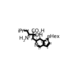 CCCCCCn1ccc2c1CC(C[C@](O)(C(=O)O)[C@@H](N)CC(C)C)N=C2